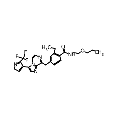 CCCOCCNC(=O)c1ccc(Cc2nccn3c(C4=CCN=C4C(F)(F)F)cnc23)cc1CC